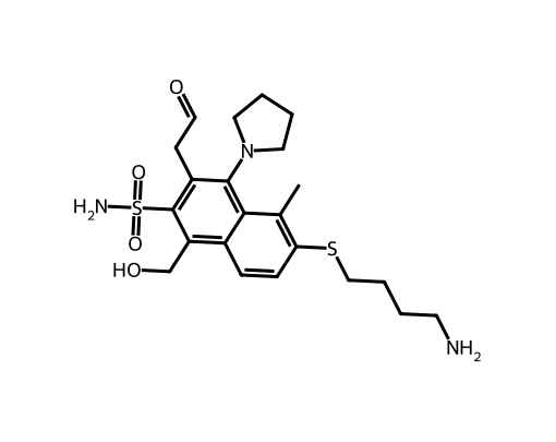 Cc1c(SCCCCN)ccc2c(CO)c(S(N)(=O)=O)c(CC=O)c(N3CCCC3)c12